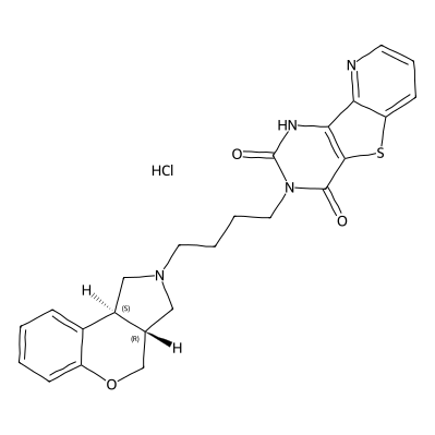 Cl.O=c1[nH]c2c(sc3cccnc32)c(=O)n1CCCCN1C[C@@H]2COc3ccccc3[C@H]2C1